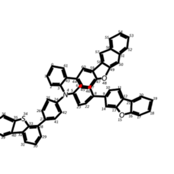 c1ccc(N(c2ccc(-c3ccc4c(c3)oc3ccccc34)cc2)c2ccc(-c3cccc4c3sc3ccccc34)cc2)c(-c2ccc3oc4cc5ccccc5cc4c3c2)c1